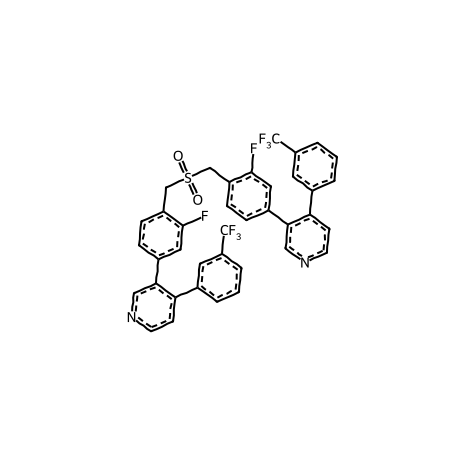 O=S(=O)(Cc1ccc(-c2cnccc2-c2cccc(C(F)(F)F)c2)cc1F)Cc1ccc(-c2cnccc2-c2cccc(C(F)(F)F)c2)cc1F